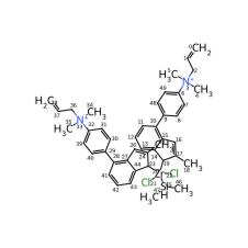 C=CC[N+](C)(C)c1ccc(-c2cccc3c2C=C(C)[CH]3[Zr]([Cl])([Cl])([CH]2C(C)=Cc3c(-c4ccc([N+](C)(C)CC=C)cc4)cccc32)[SiH](C)C)cc1